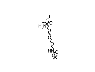 CCOC(=O)C(N)(CC)CCOCCOCCOCCNC(=O)OC(C)(C)C